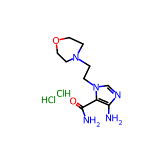 Cl.Cl.NC(=O)c1c(N)ncn1CCN1CCOCC1